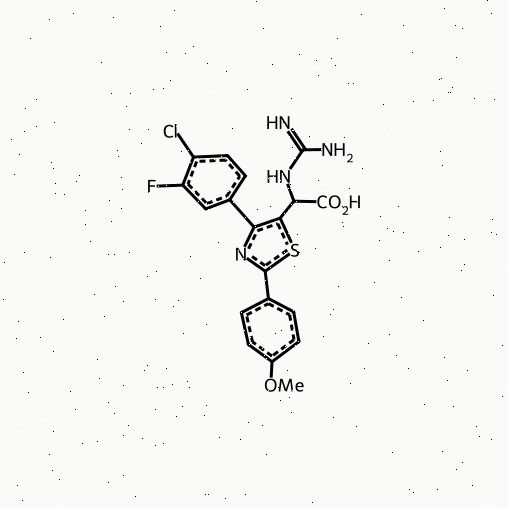 COc1ccc(-c2nc(-c3ccc(Cl)c(F)c3)c(C(NC(=N)N)C(=O)O)s2)cc1